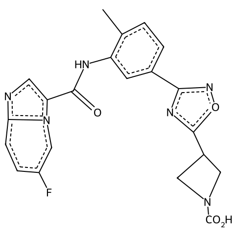 Cc1ccc(-c2noc(C3CN(C(=O)O)C3)n2)cc1NC(=O)c1cnc2ccc(F)cn12